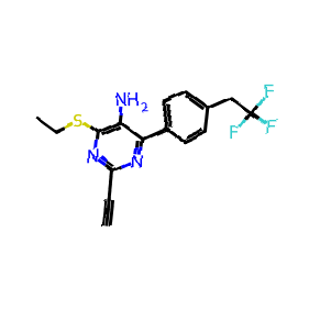 C#Cc1nc(SCC)c(N)c(-c2ccc(CC(F)(F)F)cc2)n1